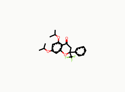 CC(C)Oc1cc(OC(C)C)c2c(c1)OC(c1ccccc1)(C(F)(F)F)CC2=O